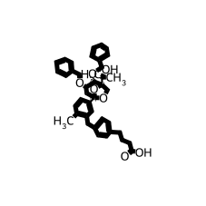 Cc1ccc([C@]23CC(OCc4ccccc4)[C@H](OCc4ccccc4)[C@](C(C)(C)O)(CO2)O3)cc1Cc1ccc(CCCC(=O)O)cc1